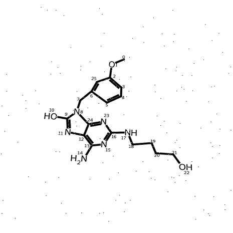 COc1cccc(Cn2c(O)nc3c(N)nc(NCCCCO)nc32)c1